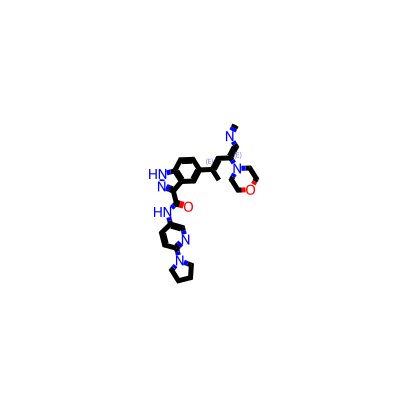 C=N/C=C(\C=C(/C)c1ccc2[nH]nc(C(=O)Nc3ccc(N4CCCC4)nc3)c2c1)N1CCOCC1